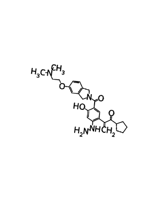 C=C(C(=O)C1CCCC1)c1cc(C(=O)N2Cc3ccc(OCCN(C)C)cc3C2)c(O)cc1NN